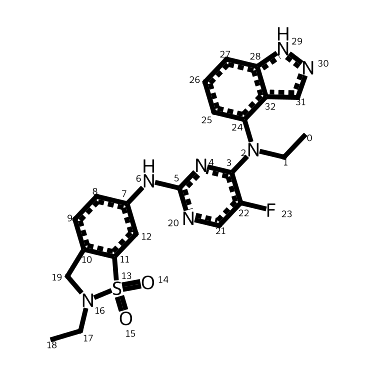 CCN(c1nc(Nc2ccc3c(c2)S(=O)(=O)N(CC)C3)ncc1F)c1cccc2[nH]ncc12